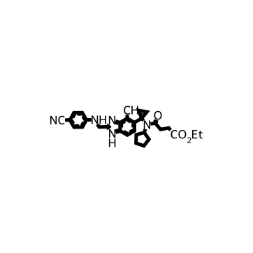 CCOC(=O)CCC(=O)N(C1CCCC1)C1(c2ccc3[nH]c(CNc4ccc(C#N)cc4)nc3c2C)CC1